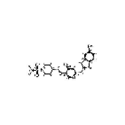 CN(C)S(=O)(=O)N1CCC(COc2coc(CN3Cc4ccc(F)cc4C3)cc2=O)CC1